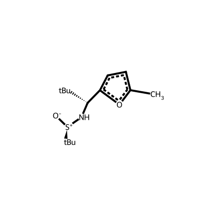 Cc1ccc([C@H](N[S@+]([O-])C(C)(C)C)C(C)(C)C)o1